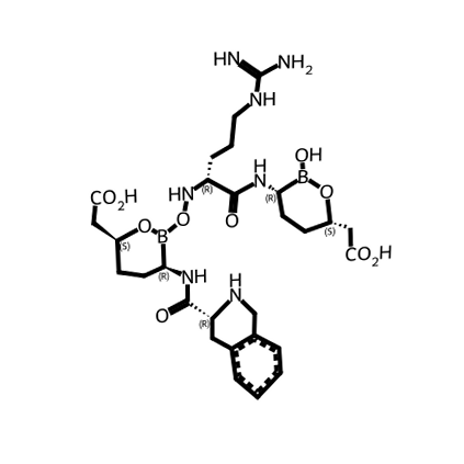 N=C(N)NCCC[C@@H](NOB1O[C@H](CC(=O)O)CC[C@@H]1NC(=O)[C@H]1Cc2ccccc2CN1)C(=O)N[C@H]1CC[C@@H](CC(=O)O)OB1O